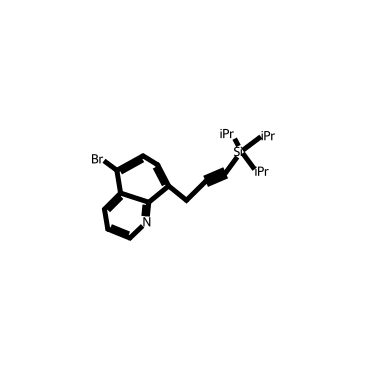 CC(C)[Si](C#CCc1ccc(Br)c2cccnc12)(C(C)C)C(C)C